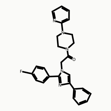 O=C(Cn1cc(-c2ccccc2)nc1-c1ccc(F)cc1)N1CCN(c2ccccn2)CC1